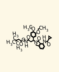 CCOc1cc(C(CC(=O)NOC(=O)CC(C)(C)C)N2Cc3cccc(NC(=O)C4CC4)c3C2=O)ccc1OC